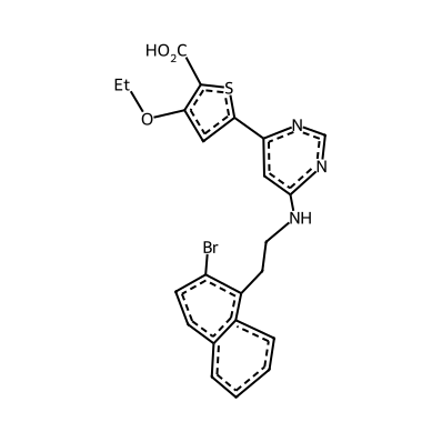 CCOc1cc(-c2cc(NCCc3c(Br)ccc4ccccc34)ncn2)sc1C(=O)O